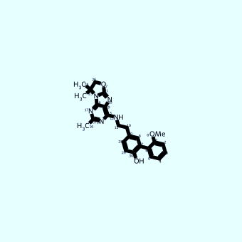 COc1ccccc1-c1cc(CCNc2nc(C)nc3c2nc2n3C(C)(C)CO2)ccc1O